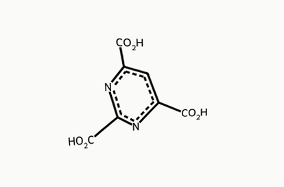 O=C(O)c1cc(C(=O)O)nc(C(=O)O)n1